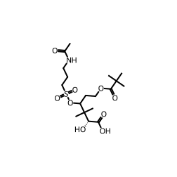 CC(=O)NCCCS(=O)(=O)OC(CCOC(=O)C(C)(C)C)C(C)(C)[C@@H](O)C(=O)O